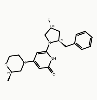 C[C@@H]1C[C@@H](Cc2ccccc2)N(c2cc(N3CCO[C@H](C)C3)cc(=O)[nH]2)C1